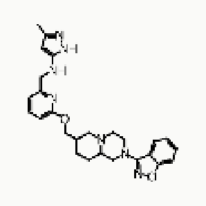 Cc1cc(NCc2cccc(OCC3CCC4CN(c5noc6ccccc56)CCN4C3)n2)[nH]n1